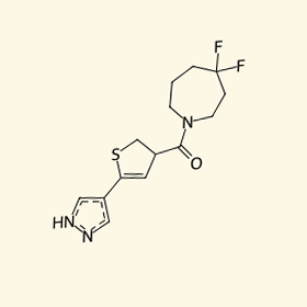 O=C(C1C=C(c2cn[nH]c2)SC1)N1CCCC(F)(F)CC1